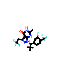 Cc1nc2c(c(CC(F)(F)F)nn2[C@@H](c2ccc(C(F)(F)F)c(F)c2)C(C)(C)C)c(=O)[nH]1